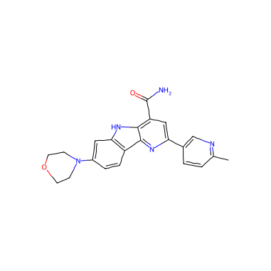 Cc1ccc(-c2cc(C(N)=O)c3[nH]c4cc(N5CCOCC5)ccc4c3n2)cn1